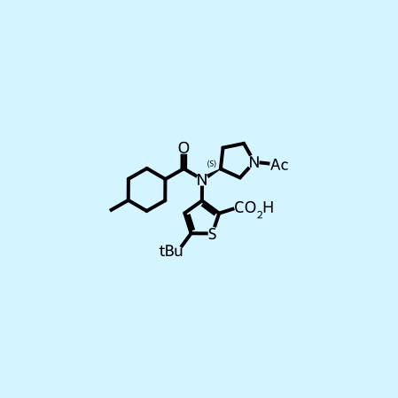 CC(=O)N1CC[C@H](N(C(=O)C2CCC(C)CC2)c2cc(C(C)(C)C)sc2C(=O)O)C1